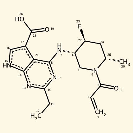 C=CC(=O)N1C[C@H](Nc2nc(CC)nc3[nH]cc(C(=O)O)c23)[C@@H](F)C[C@@H]1C